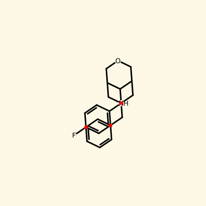 Fc1ccc(NC2C3COCC2CN(Cc2ccccc2)C3)cc1